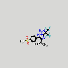 CC(C)c1nc(C(N)(C(F)(F)F)C(F)(F)F)[nH]c1-c1ccc(S(C)(=O)=O)cc1